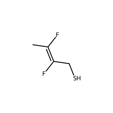 CC(F)=C(F)CS